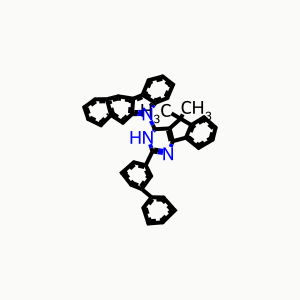 CC1(C)C2=C(N=C(c3cccc(-c4ccccc4)c3)NC2n2c3ccccc3c3cc4ccccc4cc32)c2ccccc21